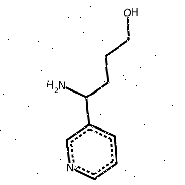 NC(CCCO)c1cccnc1